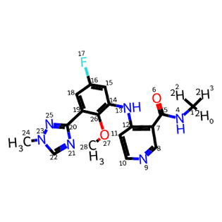 [2H]C([2H])([2H])NC(=O)c1cnccc1Nc1cc(F)cc(-c2ncn(C)n2)c1OC